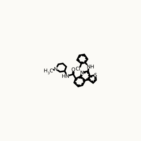 CN1CCCC(NC(=O)c2cccc3c2nc(Nc2ccccc2Cl)c2sccc23)C1